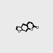 O=c1ccc2c(o1)=CC1OC=CC1C=2